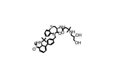 CC(C)(C)NC1C(c2ccc(CN3C(=O)[C@H](NC(=O)CC(C)(C)NC[C@H](O)CO)CSc4ccccc43)cc2)=CC=CC1=S(=O)=O